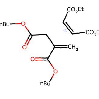 C=C(CC(=O)OCCCC)C(=O)OCCCC.CCOC(=O)/C=C\C(=O)OCC